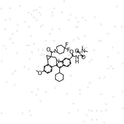 COc1ccc2c(c1)C1CC1(C(=O)N1CCC(F)(F)CC1)Cn1c-2c(C2CCCCC2)c2ccc(C(=O)NS(=O)(=O)N(C)C)cc21